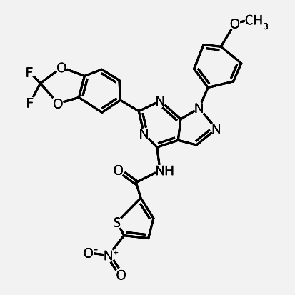 COc1ccc(-n2ncc3c(NC(=O)c4ccc([N+](=O)[O-])s4)nc(-c4ccc5c(c4)OC(F)(F)O5)nc32)cc1